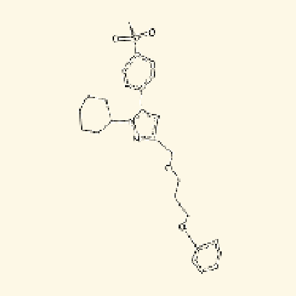 CS(=O)(=O)c1ccc(-c2cc(COCCCOc3ccccc3)nn2C2CCCCC2)cc1